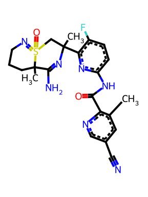 Cc1cc(C#N)cnc1C(=O)Nc1ccc(F)c(C2(C)CS3(=O)=NCCCC3(C)C(N)=N2)n1